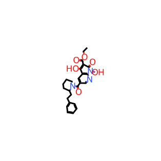 CCOC(=O)c1c(O)c2cc(C(=O)N3CCCCC3CCc3ccccc3)cnc2n(O)c1=O